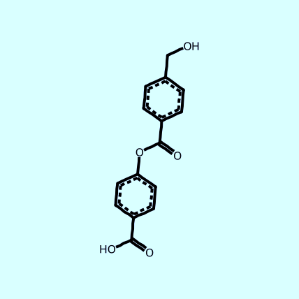 O=C(O)c1ccc(OC(=O)c2ccc(CO)cc2)cc1